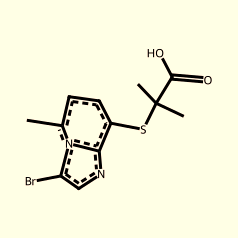 Cc1ccc(SC(C)(C)C(=O)O)c2ncc(Br)n12